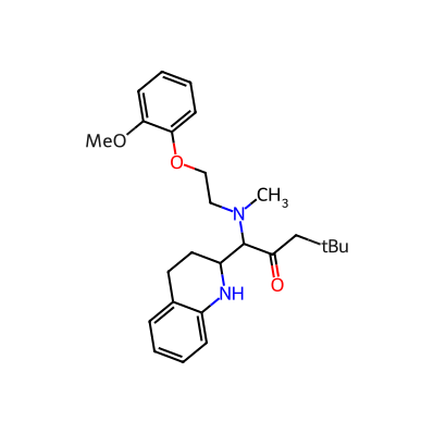 COc1ccccc1OCCN(C)C(C(=O)CC(C)(C)C)C1CCc2ccccc2N1